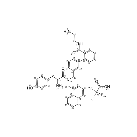 NCCNC(=O)c1ccccc1-c1cccc(CN(Cc2cccc3ccccc23)C(=O)C(N)Cc2ccc(O)cc2)c1.O=C(O)C(F)(F)F